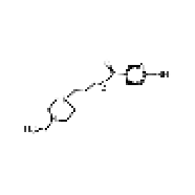 CCN1CCN(CCCNC(=O)c2ccc([NH])nc2)CC1